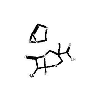 C1=C2SN2CS1.CC1(C(=O)O)CS[C@@H]2C(N)C(=O)N2C1